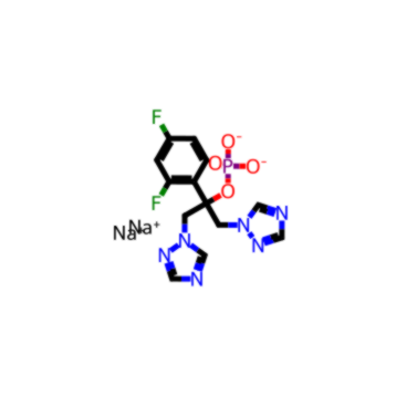 O=P([O-])([O-])OC(Cn1cncn1)(Cn1cncn1)c1ccc(F)cc1F.[Na+].[Na+]